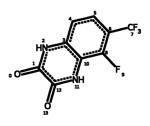 O=c1[nH]c2ccc(C(F)(F)F)c(F)c2[nH]c1=O